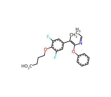 C/C=N\C(Oc1ccccc1)=C(/C)c1cc(F)c(OCCCC(=O)O)c(F)c1